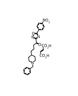 O=C(CCCC1CCN(Cc2ccccc2)CC1)c1noc(-c2ccc([N+](=O)[O-])cc2)n1.O=C(O)C=CC(=O)O